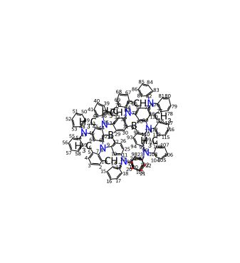 Cc1cccc(C)c1N1c2cc(N(c3ccccc3)c3ccccc3)ccc2B2c3cc4c(cc3N(c3c(C)cccc3C)c3cc(N(c5ccccc5)c5ccccc5)cc1c32)N(c1c(C)cccc1C)c1cc(N(c2ccccc2)c2ccccc2)cc2c1B4c1ccc(N(c3ccccc3)c3ccccc3)cc1N2c1c(C)cccc1C